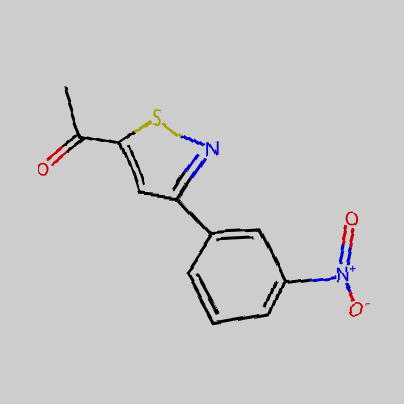 CC(=O)c1cc(-c2cccc([N+](=O)[O-])c2)ns1